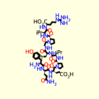 CC(C)C[C@H](NC(=O)[C@@H](NC(=O)[C@@H]1CCCN1C(=O)[C@H](CCC(=O)O)NC(=O)[C@H](CCC(N)=O)NC(=O)[C@@H](N)Cc1ccc(O)cc1)C(C)C)C(=O)NCC(=O)N1CCC[C@H]1C(=O)N[C@H](C(=O)N[C@@H](CCCNC(=N)N)C(=O)O)C(C)C